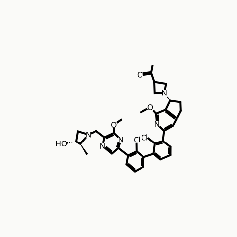 COc1nc(-c2cccc(-c3cccc(-c4cc5c(c(OC)n4)[C@H](N4CC(C(C)=O)C4)CC5)c3Cl)c2Cl)cnc1CN1C[C@@H](O)[C@@H]1C